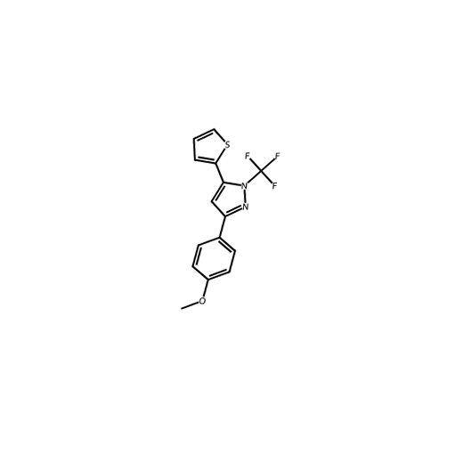 COc1ccc(-c2cc(-c3cccs3)n(C(F)(F)F)n2)cc1